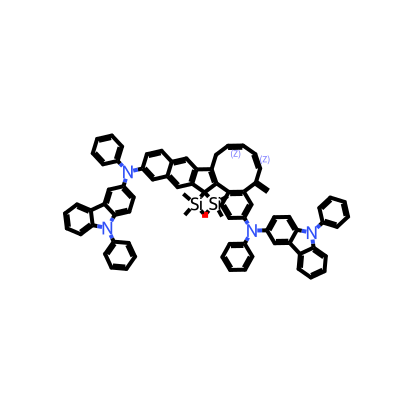 C=C1/C=C\C=C/CC2=C(c3ccc(N(c4ccccc4)c4ccc5c(c4)c4ccccc4n5-c4ccccc4)cc31)C([Si](C)(C)C)([Si](C)(C)C)c1cc3cc(N(c4ccccc4)c4ccc5c(c4)c4ccccc4n5-c4ccccc4)ccc3cc12